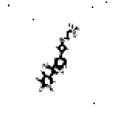 Cc1c(-c2[nH]c3ccc(C4CC(NCCS(C)(=O)=O)C4)cc3c2C(C)C)cn(C)c(=O)c1C